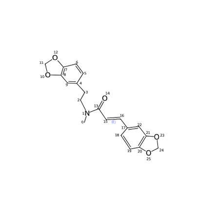 CN(CCc1ccc2c(c1)OCO2)C(=O)/C=C/c1ccc2c(c1)OCO2